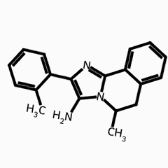 Cc1ccccc1-c1nc2n(c1N)C(C)Cc1ccccc1-2